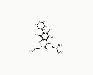 C=CCOC(=O)N(SCC(N)C(=O)O)c1c(F)c(F)c(N2CCCCC2)c(F)c1F